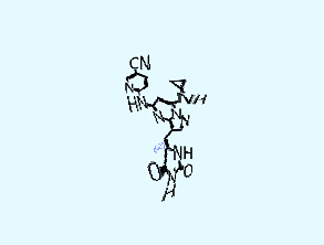 N#Cc1ccc(Nc2cc(NC3CC3)n3ncc(/C=C4\NC(=O)NC4=O)c3n2)nc1